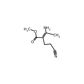 COC(=O)C(CCC#N)=C(C)N